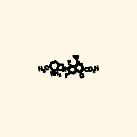 CC1C=CC2CN(c3c(F)cc4c(=O)c(C(=O)O)cn(C5CC5)c4c3F)CC2C1N